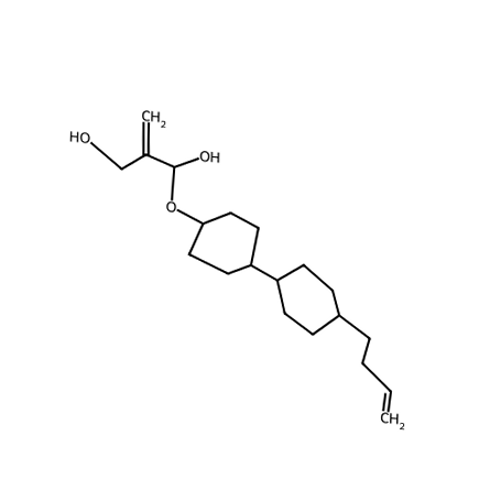 C=CCCC1CCC(C2CCC(OC(O)C(=C)CO)CC2)CC1